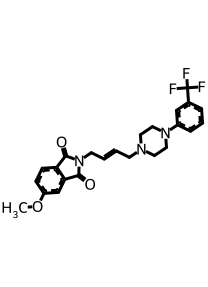 COc1ccc2c(c1)C(=O)N(CC=CCN1CCN(c3cccc(C(F)(F)F)c3)CC1)C2=O